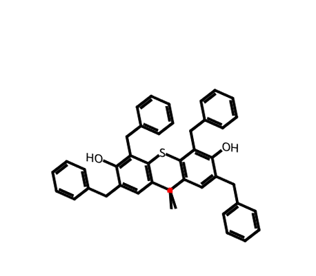 CCc1cc(Cc2ccccc2)c(O)c(Cc2ccccc2)c1Sc1c(CC)cc(Cc2ccccc2)c(O)c1Cc1ccccc1